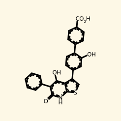 O=C(O)c1ccc(-c2ccc(-c3csc4[nH]c(=O)c(-c5ccccc5)c(O)c34)cc2O)cc1